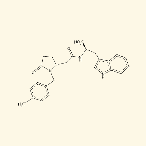 Cc1ccc(CN2C(=O)CCC2CC(=O)N[C@H](Cc2c[nH]c3ccccc23)C(=O)O)cc1